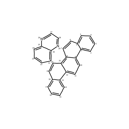 c1ccc2c(c1)ccc1c2ccc2c3ccccc3ccc21.c1ccc2nccnc2c1